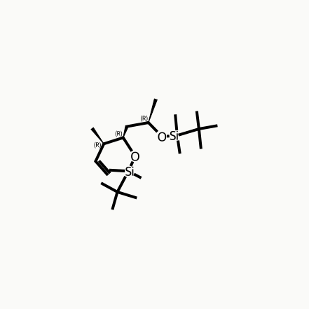 C=C[C@@H](C)[C@@H](C[C@@H](C)O[Si](C)(C)C(C)(C)C)O[Si](C)(C)C(C)(C)C